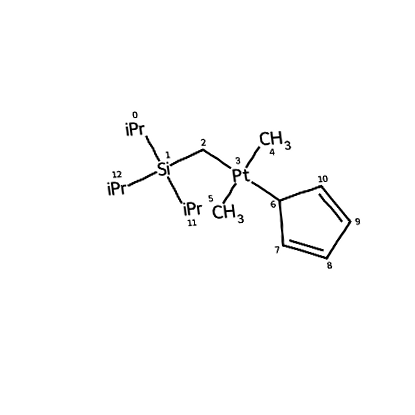 CC(C)[Si]([CH2][Pt]([CH3])([CH3])[CH]1C=CC=C1)(C(C)C)C(C)C